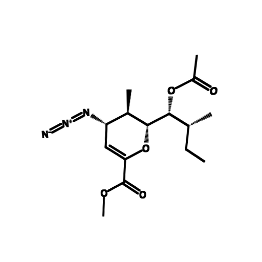 CC[C@@H](C)[C@@H](OC(C)=O)[C@@H]1OC(C(=O)OC)=C[C@H](N=[N+]=[N-])[C@H]1C